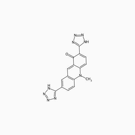 Cn1c2ccc(-c3nnn[nH]3)c(=O)c-2cc2cc(-c3nnn[nH]3)ccc21